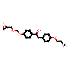 CCCOc1ccc(CC(=O)c2ccc(OCOCC3CO3)cc2)cc1